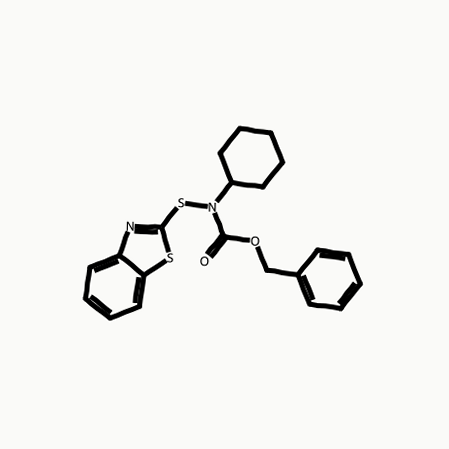 O=C(OCc1ccccc1)N(Sc1nc2ccccc2s1)C1CCCCC1